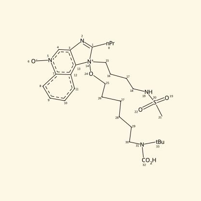 CCCC1=Nc2c[n+]([O-])c3ccccc3c2[N+]1(CCCCNS(C)(=O)=O)OCCCCCCN(C(=O)O)C(C)(C)C